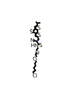 CC(C)c1cc2c(s1)-c1sc(/C=C(\C#N)C(=S)NCCOCCOCCCCCCCl)cc1[Si]2(C)C